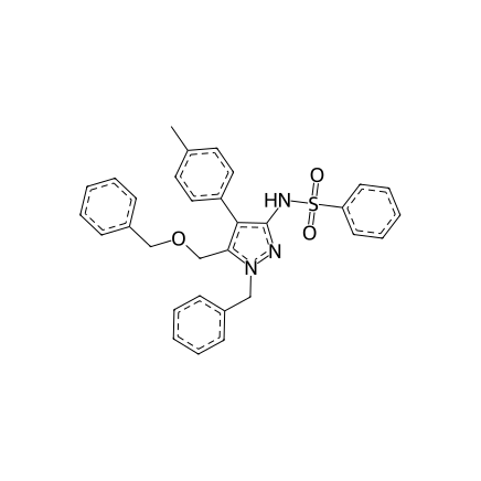 Cc1ccc(-c2c(NS(=O)(=O)c3ccccc3)nn(Cc3ccccc3)c2COCc2ccccc2)cc1